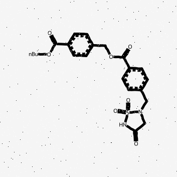 CCCCOC(=O)c1ccc(COC(=O)c2ccc(CN3CC(=O)NS3(=O)=O)cc2)cc1